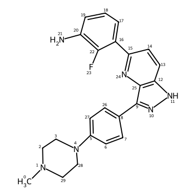 CN1CCN(c2ccc(-c3n[nH]c4ccc(-c5cccc(N)c5F)nc34)cc2)CC1